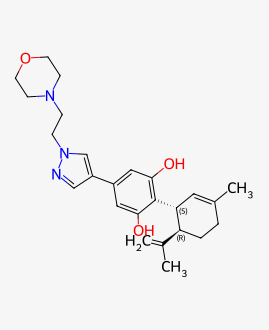 C=C(C)[C@@H]1CCC(C)=C[C@H]1c1c(O)cc(-c2cnn(CCN3CCOCC3)c2)cc1O